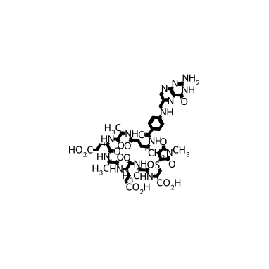 C[C@H](CCC(=O)N[C@@H](C)C(=O)N[C@H](CCC(=O)O)C(=O)N[C@@H](C)C(=O)N[C@H](CCC(=O)O)C(=O)N[C@@H](C)C(=O)N[C@H](CSC1CC(=O)N(C)C1=O)C(=O)O)NC(=O)c1ccc(NCc2cnc3nc(N)[nH]c(=O)c3n2)cc1